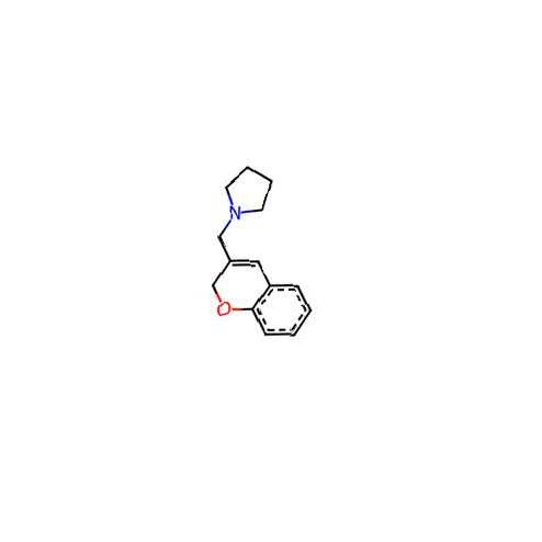 C1=C(CN2CCCC2)COc2ccccc21